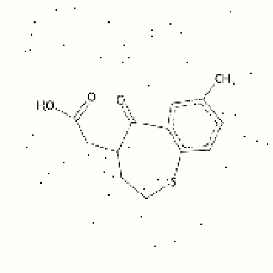 Cc1ccc2c(c1)C(=O)C(CC(=O)O)CCS2